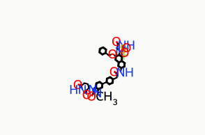 Cn1c(=O)n(C2CCC(=O)NC2=O)c2ccc(-c3ccc(CC(=O)Nc4ccc5c(F)c(N6CC(=O)NS6(=O)=O)c(OCc6ccccc6)cc5c4)cc3)cc21